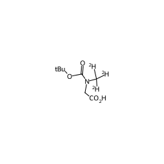 [2H]C([2H])([2H])N(CC(=O)O)C(=O)OC(C)(C)C